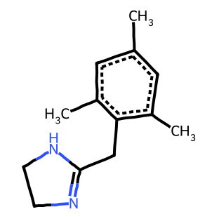 Cc1cc(C)c(CC2=NCCN2)c(C)c1